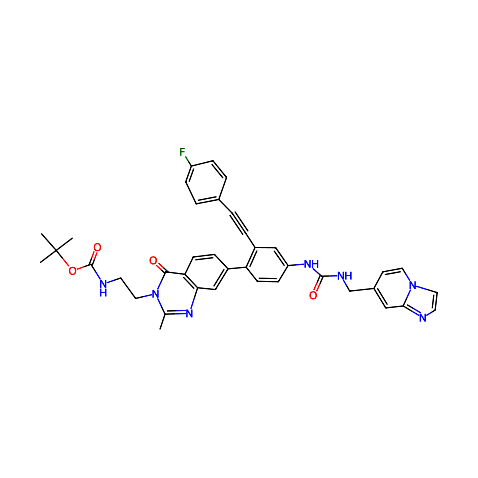 Cc1nc2cc(-c3ccc(NC(=O)NCc4ccn5ccnc5c4)cc3C#Cc3ccc(F)cc3)ccc2c(=O)n1CCNC(=O)OC(C)(C)C